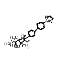 C[C@@](NCc1ccc(-c2ccc(-n3nccn3)cc2)cc1)(C(=O)NO)[C@](C)(O)C(F)F